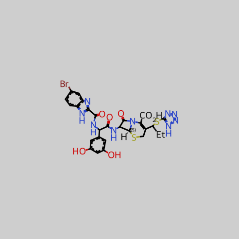 CCC(Sc1nnn[nH]1)C1=C(C(=O)O)N2C(=O)C(NC(=O)C(NC(=O)c3nc4cc(Br)ccc4[nH]3)c3cc(O)cc(O)c3)[C@@H]2SC1